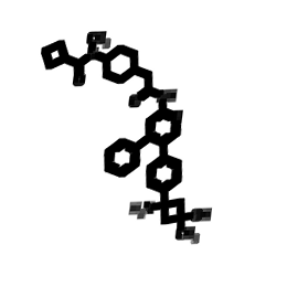 CN(C(=O)C1CCC1)C1CCC(CC(=O)Nc2cc(-c3ccccc3)c(-c3ccc(C4(N)CC(C)(O)C4)cc3)cn2)CC1